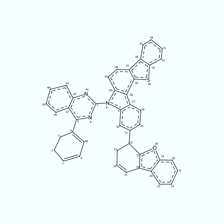 C1=CCCC(c2nc(-n3c4cc(C5CC=Cc6c5oc5ccccc65)ccc4c4c5sc6ccccc6c5ccc43)nc3ccccc23)=C1